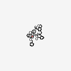 C[C@]1(C(=O)N2CCN(C(=O)c3cc(Cc4n[nH]c(=O)c5ccccc45)cc4c3OCC4)CC2)CCCN1C(=O)OCc1ccccc1